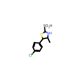 CC1NC(S(=O)(=O)O)SC1c1ccc(Cl)cc1